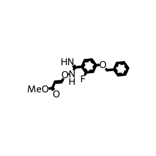 COC(=O)C=CONC(=N)c1ccc(OCc2ccccc2)cc1F